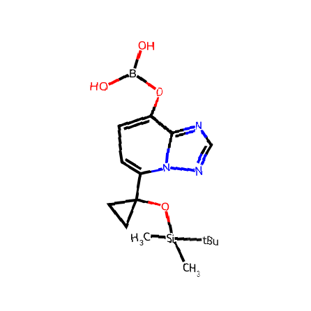 CC(C)(C)[Si](C)(C)OC1(c2ccc(OB(O)O)c3ncnn23)CC1